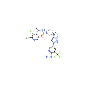 CC(NC(=O)N1CC[C@@]2(CCn3nc(-c4cnc(N)c(C(F)(F)F)c4)cc32)C1)c1ccnc(Cl)c1F